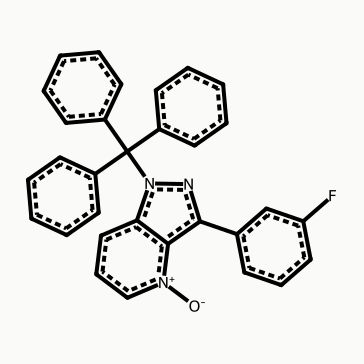 [O-][n+]1cccc2c1c(-c1cccc(F)c1)nn2C(c1ccccc1)(c1ccccc1)c1ccccc1